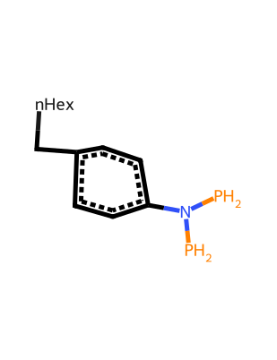 CCCCCCCc1ccc(N(P)P)cc1